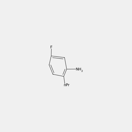 CCCc1ccc(F)cc1N